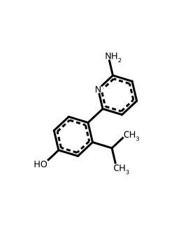 CC(C)c1cc(O)ccc1-c1cccc(N)n1